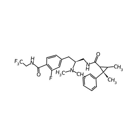 CC1C(C(=O)NC[C@H](Cc2ccc(C(=O)NCC(F)(F)F)c(F)c2)N(C)C)[C@@]1(C)c1ccccc1